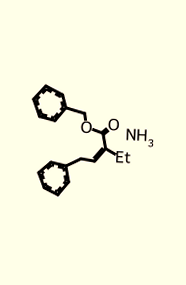 CCC(=CCc1ccccc1)C(=O)OCc1ccccc1.N